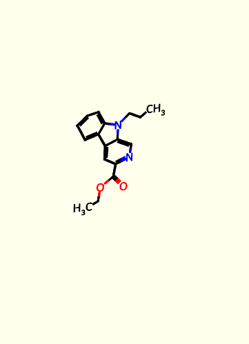 CCCn1c2ccccc2c2cc(C(=O)OCC)ncc21